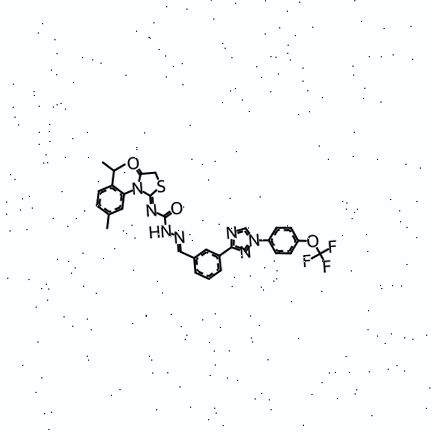 Cc1ccc(C(C)C)c(N2C(=O)CS/C2=N\C(=O)N/N=C/c2cccc(-c3ncn(-c4ccc(OC(F)(F)F)cc4)n3)c2)c1